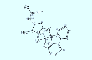 CC1CC(O[Si](c2ccccc2)(c2ccccc2)C(C)(C)C)CC1NC(=O)O